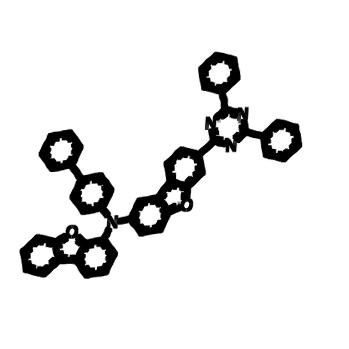 c1ccc(-c2ccc(N(c3ccc4oc5cc(-c6nc(-c7ccccc7)nc(-c7ccccc7)n6)ccc5c4c3)c3cccc4c3oc3ccccc34)cc2)cc1